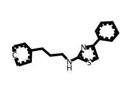 c1ccc(CCCNc2nc(-c3ccccc3)cs2)cc1